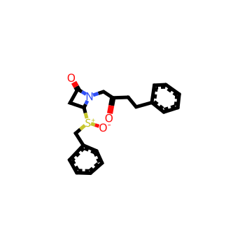 O=C(CCc1ccccc1)CN1C(=O)CC1[S+]([O-])Cc1ccccc1